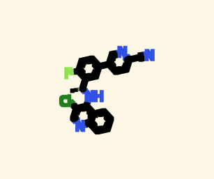 C[C@@H](Nc1c(Cl)cnc2ccccc12)c1cc(-c2ccc(C#N)nc2)ccc1F